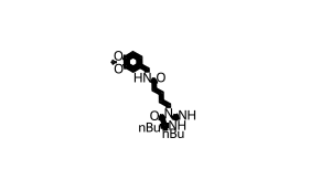 CCCCC1(CCCC)NC(=N)N(CCCCC(=O)NCc2ccc3c(c2)OCO3)C1=O